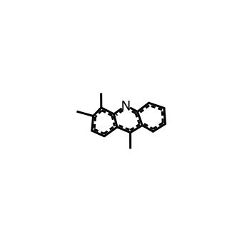 Cc1ccc2c(C)c3ccccc3nc2c1C